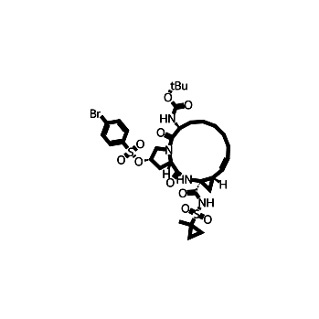 CC(C)(C)OC(=O)N[C@H]1CCCCC/C=C\[C@@H]2C[C@@]2(C(=O)NS(=O)(=O)C2(C)CC2)NC(=O)[C@@H]2C[C@H](OS(=O)(=O)c3ccc(Br)cc3)CN2C1=O